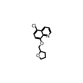 Clc1ccc(OCC2CCCO2)c2ncccc12